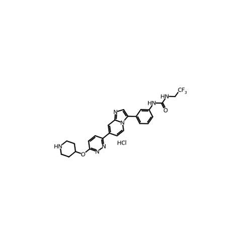 Cl.O=C(NCC(F)(F)F)Nc1cccc(-c2cnc3cc(-c4ccc(OC5CCNCC5)nn4)ccn23)c1